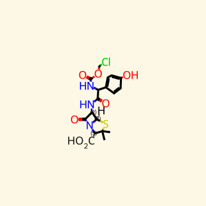 CC1(C)S[C@@H]2[C@H](NC(=O)C(NC(=O)OCCl)c3ccc(O)cc3)C(=O)N2[C@H]1C(=O)O